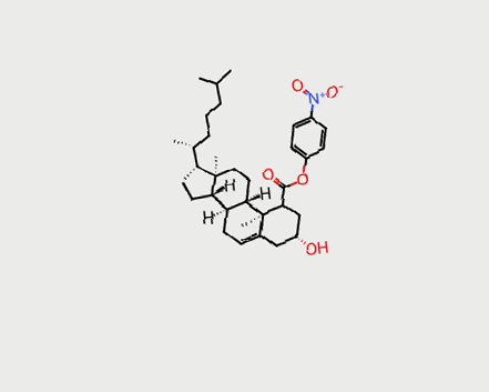 CC(C)CCC[C@@H](C)[C@H]1CC[C@H]2[C@@H]3CC=C4C[C@@H](O)CC(C(=O)Oc5ccc([N+](=O)[O-])cc5)[C@]4(C)[C@H]3CC[C@]12C